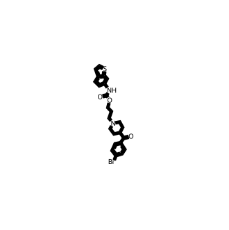 O=C(Nc1ccc2ccsc2c1)OCCCN1CCC(C(=O)c2ccc(Br)cc2)CC1